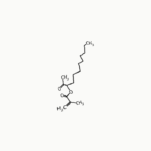 C=C(C)C(=O)OC(CCCCCCCCC)C(C)=O